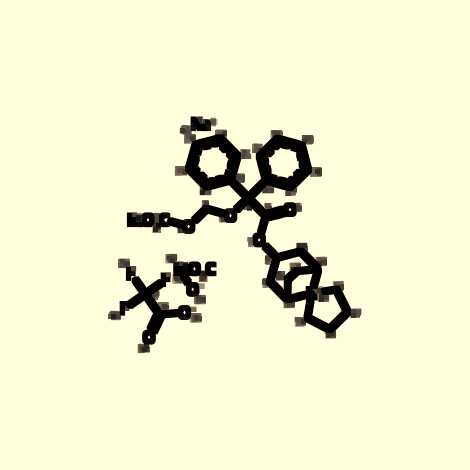 CCOC(=O)OCOC(C(=O)OC1CC2CCC(C1)[N+]21CCCC1)(c1ccccc1)c1ccccc1.CCOC(=O)[O-].O=C([O-])C(F)(F)F.[Na+]